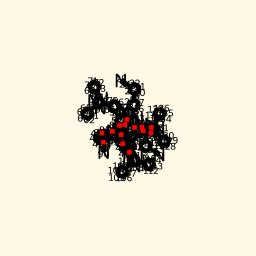 N#Cc1cccc(-c2cccc(-c3nc(-c4ccc(-c5cccc(C#N)c5)cc4-n4c5ccc(-c6nc(-c7ccccc7)nc(-c7ccccc7)n6)cc5c5cc(-c6nc(-c7ccccc7)nc(-c7ccccc7)n6)ccc54)nc(-c4ccc(-c5cccc(C#N)c5)cc4-n4c5ccc(-c6nc(-c7ccccc7)nc(-c7ccccc7)n6)cc5c5cc(-c6nc(-c7ccccc7)nc(-c7ccccc7)n6)ccc54)n3)c2)c1